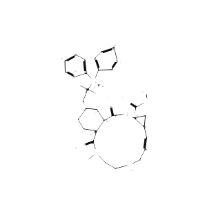 COC(=O)[C@@]12CC1/C=C\CCCCN(C)C(=O)[C@@H]1CC[C@@H](CC(C)(C)[Si](O)(c3ccccc3)c3ccccc3)C[C@H]1C(=O)N2